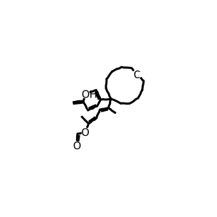 C=C(O)/C=C\C(=C/C)C1(/C(C)=C/C=C(\C)OC=O)CCCCCCCCCCC1